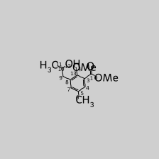 COC(=O)c1cc(C)cc(CC(C)O)c1OC